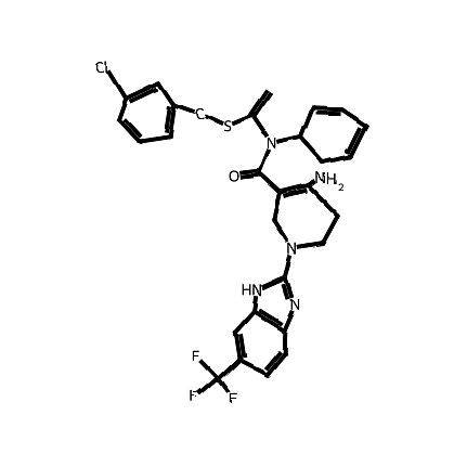 C=C(SCc1cccc(Cl)c1)N(C(=O)C1=C(N)CCN(c2nc3ccc(C(F)(F)F)cc3[nH]2)C1)C1C=CC=CC1